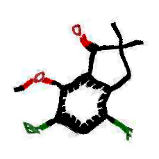 COc1c(Br)cc(F)c2c1C(=O)C(C)(C)C2